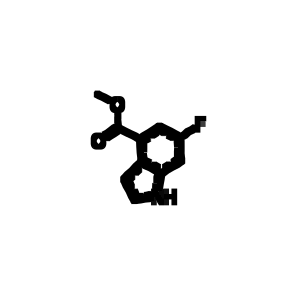 COC(=O)c1cc(F)cc2[nH]ccc12